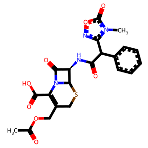 CC(=O)OCC1=C(C(=O)O)N2C(=O)[C@@H](NC(=O)C(c3ccccc3)c3noc(=O)n3C)C2SC1